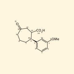 COc1cccc([C@H]2CCCC(=O)CC2C(=O)O)c1